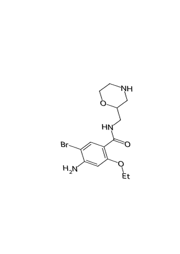 CCOc1cc(N)c(Br)cc1C(=O)NCC1CNCCO1